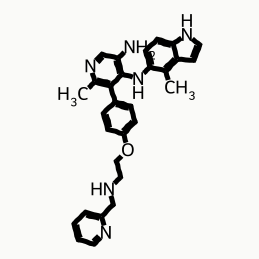 Cc1ncc(N)c(Nc2ccc3[nH]ccc3c2C)c1-c1ccc(OCCNCc2ccccn2)cc1